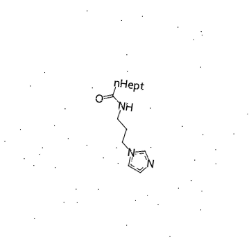 CCCCCCCC(=O)NCCCn1ccnc1